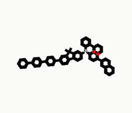 CC1(C)c2cc(-c3ccc(-c4ccc(-c5ccccc5)cc4)cc3)ccc2-c2ccc(N(c3ccc(-c4ccc5ccccc5c4)cc3)c3ccccc3-c3ccccc3)cc21